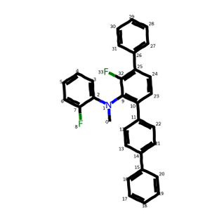 CN(c1ccccc1F)c1c(-c2ccc(-c3ccccc3)cc2)ccc(-c2ccccc2)c1F